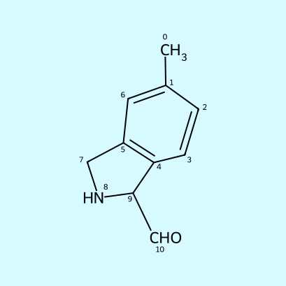 Cc1ccc2c(c1)CNC2C=O